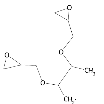 [CH2]C(OCC1CO1)C(C)OCC1CO1